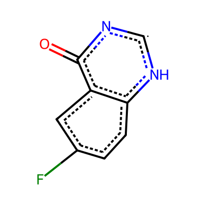 O=c1n[c][nH]c2ccc(F)cc12